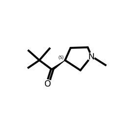 CN1CC[C@H](C(=O)C(C)(C)C)C1